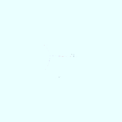 [Ca+2].[Na+].[O-]P([O-])[O-]